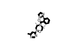 Cc1cc(N2C[C@H](C)N(C(=O)c3ccccc3-n3nccn3)[C@H](C)CO2)ncn1